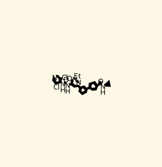 CCn1nc(-c2cccc(-c3ccc(C(=O)NC4CC4)cc3)c2)cc(NC(=O)Nc2c(Cl)cncc2Cl)c1=O